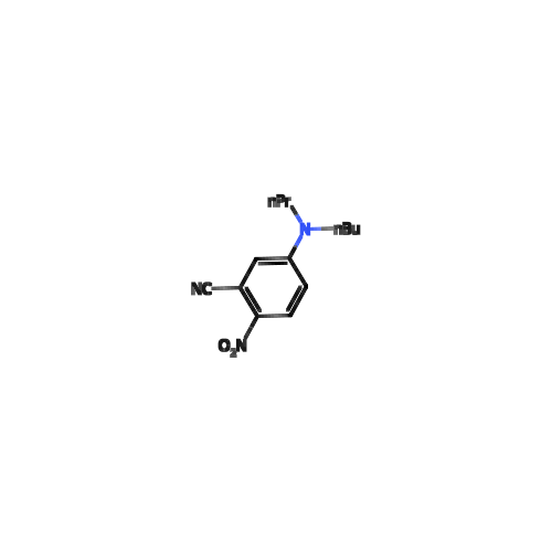 CCCCN(CCC)c1ccc([N+](=O)[O-])c(C#N)c1